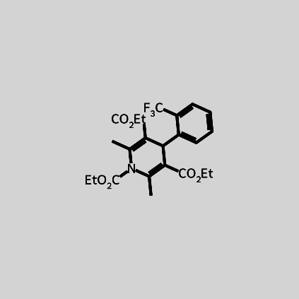 CCOC(=O)C1=C(C)N(C(=O)OCC)C(C)=C(C(=O)OCC)C1c1ccccc1C(F)(F)F